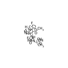 CCOC(=O)C1=C(CN2CC(F)(F)[C@@H]3C(=O)N(CC(CC)(CC)C(=O)O)C[C@@H]32)NC(c2nccs2)=N[C@H]1c1cccc(F)c1C